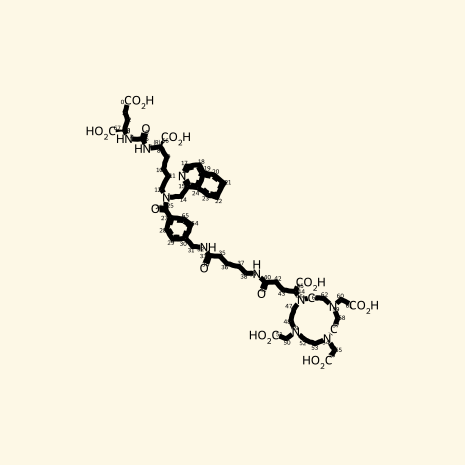 O=C(O)CC[C@@H](NC(=O)N[C@H](CCCCN(Cc1nccc2ccccc12)C(=O)c1ccc(CNC(=O)CCCCNC(=O)CCC(C(=O)O)N2CCN(CC(=O)O)CCN(CC(=O)O)CCN(CC(=O)O)CC2)cc1)C(=O)O)C(=O)O